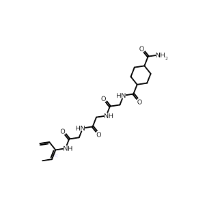 C=C/C(=C\C)NC(=O)CNC(=O)CNC(=O)CNC(=O)C1CCC(C(N)=O)CC1